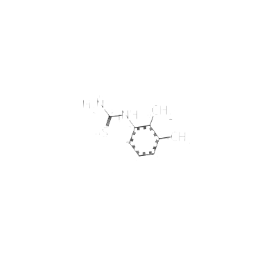 [CH2]c1c(C)cccc1NC(N)=S